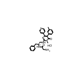 Cc1cccc(-c2c(-c3ccncc3)nc(NC[C@H](Cc3ccccc3)NC(=O)CN)n(C)c2=O)c1.Cl